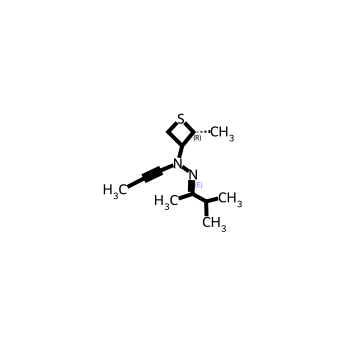 CC#CN(/N=C(\C)C(C)C)C1CS[C@@H]1C